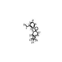 CCc1cccc(OC2CCN(C(C)(C)C)CC2)c1